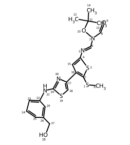 CSc1sc(N=CN(C=O)OC(C)(C)C)cc1-c1csc(Nc2cccc(CO)c2)n1